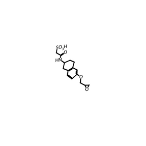 O=C(CS(=O)(=O)O)NC1CCc2cc(OCC3CO3)ccc2C1